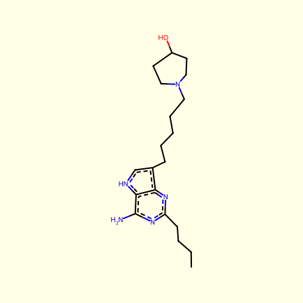 CCCCc1nc(N)c2[nH]cc(CCCCCN3CCC(O)CC3)c2n1